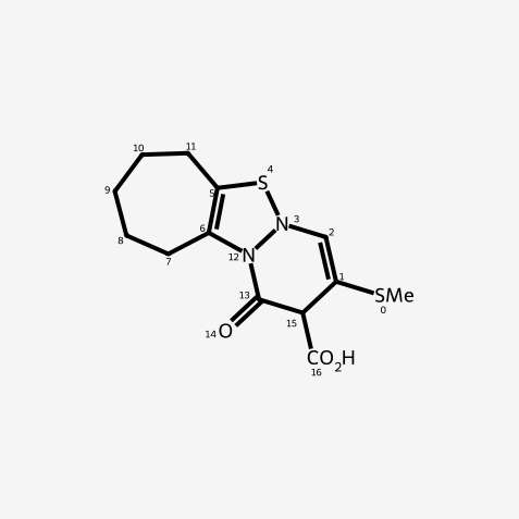 CSC1=CN2SC3=C(CCCCC3)N2C(=O)C1C(=O)O